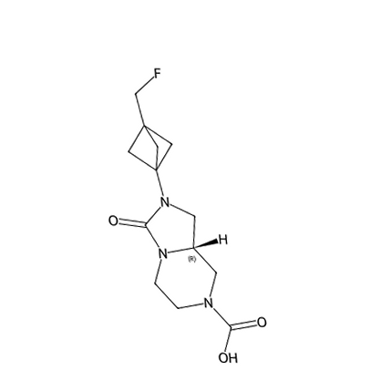 O=C(O)N1CCN2C(=O)N(C34CC(CF)(C3)C4)C[C@@H]2C1